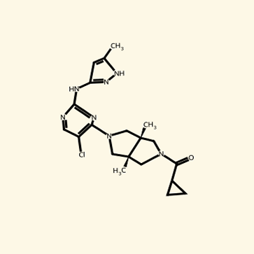 Cc1cc(Nc2ncc(Cl)c(N3C[C@]4(C)CN(C(=O)C5CC5)C[C@]4(C)C3)n2)n[nH]1